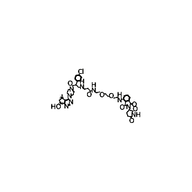 C[C@@H]1C[C@@H](O)c2ncnc(N3CCN(C(=O)C(CNCCC(=O)NCCOCCOCCNc4cccc5c4C(=O)N(C4CCC(=O)NC4=O)C5=O)c4ccc(Cl)cc4)CC3)c21